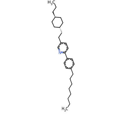 CCCCCCCCc1ccc(-c2ccc(CC[C@H]3CC[C@H](CCC)CC3)cn2)cc1